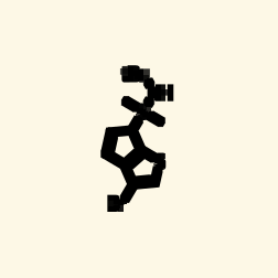 CC(C)(C)N[Si](C)(C)C1C=Cc2c(Br)csc21